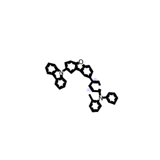 C=C(/C=C\C(=C/C)c1ccc2oc3ccc(-n4c5ccccc5c5ccccc54)cc3c2c1)N(c1ccccc1)c1ccccc1C